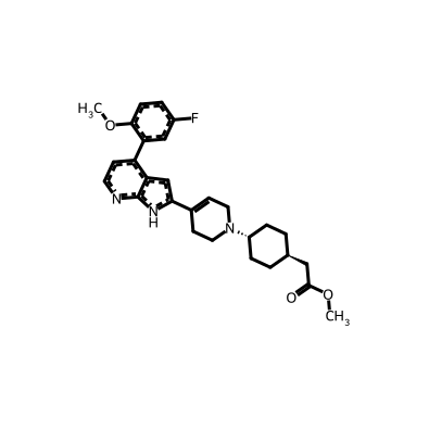 COC(=O)C[C@H]1CC[C@H](N2CC=C(c3cc4c(-c5cc(F)ccc5OC)ccnc4[nH]3)CC2)CC1